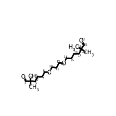 CC(C)(C=O)CCCCOCCCOCCCCC(C)(C)C=O